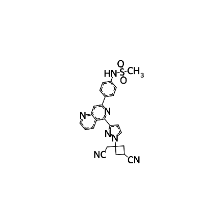 CS(=O)(=O)Nc1ccc(-c2cc3ncccc3c(-c3ccn(C4(CC#N)CC(C#N)C4)n3)n2)cc1